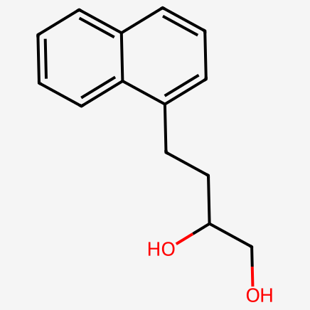 OCC(O)CCc1cccc2ccccc12